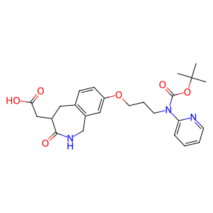 CC(C)(C)OC(=O)N(CCCOc1ccc2c(c1)CNC(=O)C(CC(=O)O)C2)c1ccccn1